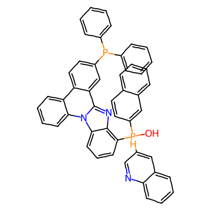 O[PH](c1ccc2ccccc2c1)(c1cnc2ccccc2c1)c1cccc2c1nc1c3cc(P(c4ccccc4)c4ccccc4)ccc3c3ccccc3n21